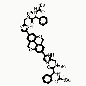 CCCN(Cc1ncc(-c2cc3c4c(c2)OCc2cc(-c5cnc(CN(CCC)C(=O)[C@H](NC(=O)C(C)(C)C)c6ccccc6)[nH]5)cc(c2-4)OC3)[nH]1)C(=O)[C@H](NC(=O)C(C)(C)C)c1ccccc1